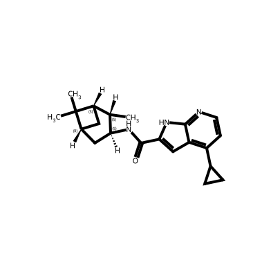 C[C@@H]1[C@@H](NC(=O)c2cc3c(C4CC4)ccnc3[nH]2)C[C@H]2C[C@@H]1C2(C)C